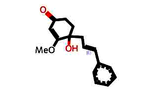 COC1=CC(=O)CCC1(O)C/C=C/c1ccccc1